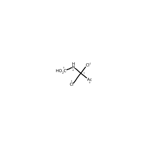 CC(=O)C(Cl)(Cl)NC(=O)O